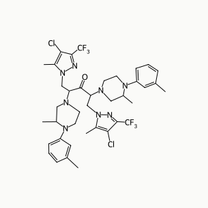 Cc1cccc(N2CCN(C(Cn3nc(C(F)(F)F)c(Cl)c3C)C(=O)C(Cn3nc(C(F)(F)F)c(Cl)c3C)N3CCN(c4cccc(C)c4)C(C)C3)CC2C)c1